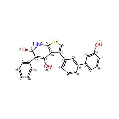 O=c1[nH]c2scc(-c3cccc(-c4cccc(O)c4)c3)c2c(O)c1-c1ccccc1